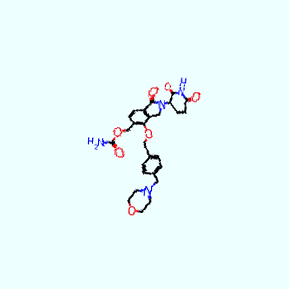 NC(=O)OCc1ccc2c(c1OCc1ccc(CN3CCOCC3)cc1)CN(C1CCC(=O)NC1=O)C2=O